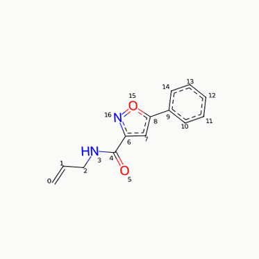 C=CCNC(=O)c1cc(-c2ccccc2)on1